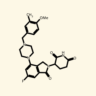 COc1ccc(CN2CCN(c3cc(F)cc4c3CN(C3CCC(=O)NC3=O)C4=O)CC2)cc1C